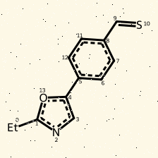 CCc1ncc(-c2ccc(C=S)cc2)o1